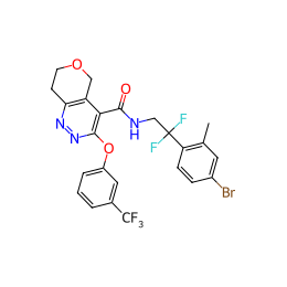 Cc1cc(Br)ccc1C(F)(F)CNC(=O)c1c(Oc2cccc(C(F)(F)F)c2)nnc2c1COCC2